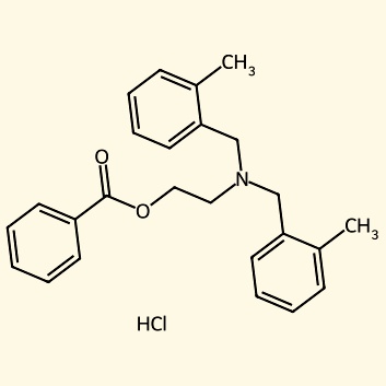 Cc1ccccc1CN(CCOC(=O)c1ccccc1)Cc1ccccc1C.Cl